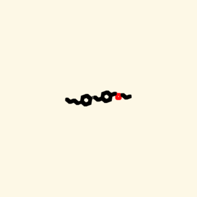 CCCC[C@H]1CC[C@H](CCC2CCC(COCCC)CC2)CC1